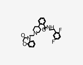 O=C(NCCc1cc(F)ccc1F)c1ccccc1C1CCN(CCN2C(=O)COc3ccccc32)CC1